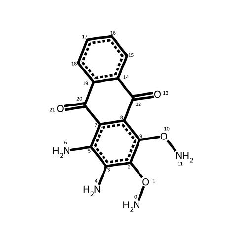 NOc1c(N)c(N)c2c(c1ON)C(=O)c1ccccc1C2=O